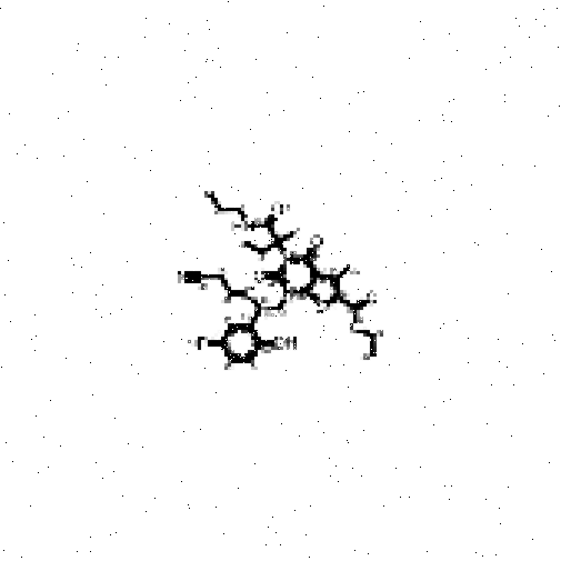 CCCNC(=O)C(C)(CC)n1c(=O)c2c(C)c(C(=O)OCC)sc2n(C[C@H](OCCC#N)c2cc(F)ccc2O)c1=O